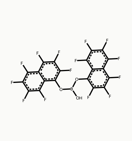 OB(Oc1c(F)c(F)c(F)c2c(F)c(F)c(F)c(F)c12)Oc1c(F)c(F)c(F)c2c(F)c(F)c(F)c(F)c12